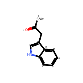 CSC(=O)Cc1c[nH]c2ccccc12